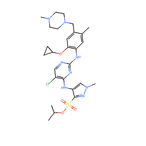 Cc1cc(Nc2ncc(Cl)c(Nc3cn(C)nc3S(=O)(=O)OC(C)C)n2)c(OC2CC2)cc1CN1CCN(C)CC1